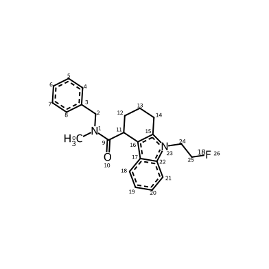 CN(Cc1ccccc1)C(=O)C1CCCc2c1c1ccccc1n2CC[18F]